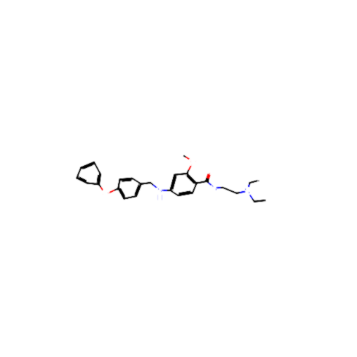 CCN(CC)CCNC(=O)c1ccc(NCc2ccc(Oc3ccccc3)cc2)cc1OC